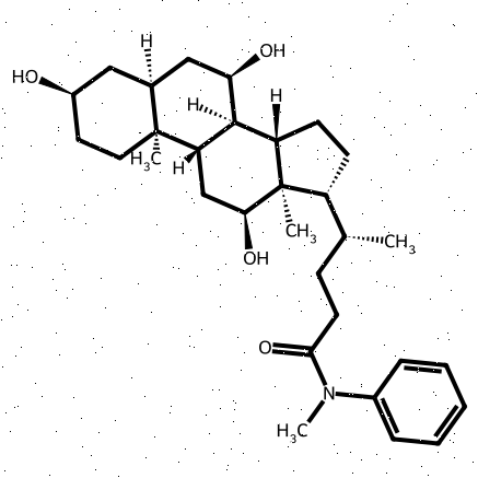 C[C@H](CCC(=O)N(C)c1ccccc1)[C@H]1CC[C@H]2[C@@H]3[C@H](O)C[C@@H]4C[C@H](O)CC[C@]4(C)[C@H]3C[C@H](O)[C@]12C